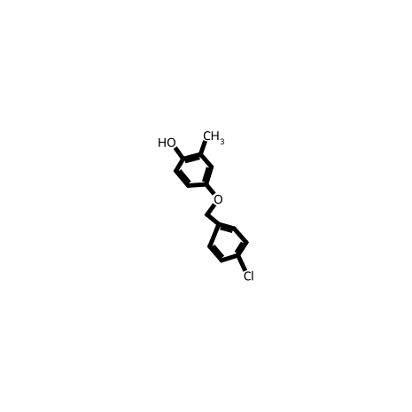 Cc1cc(OCc2ccc(Cl)cc2)ccc1O